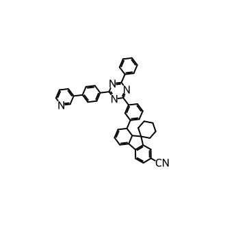 N#Cc1ccc2c(c1)C1(CCCCC1)C1C2=CC=CC1c1cccc(-c2nc(-c3ccccc3)nc(-c3ccc(-c4cccnc4)cc3)n2)c1